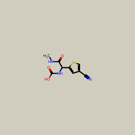 CNC(=O)C(NC(=O)O)c1cc(C#N)cs1